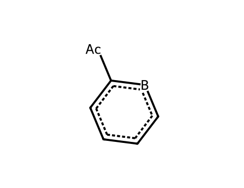 CC(=O)c1bcccc1